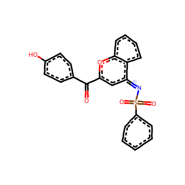 O=C(c1ccc(O)cc1)c1c/c(=N\S(=O)(=O)c2ccccc2)c2ccccc2o1